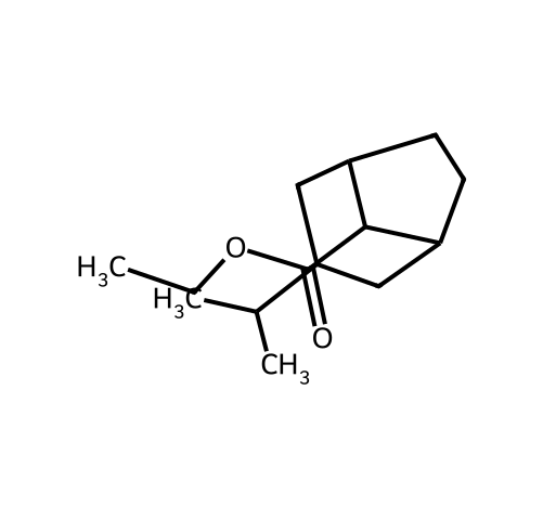 CCOC(=O)C1C2CCC1CC(C(C)C)C2